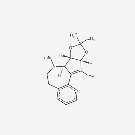 CCCCN1CCc2ccccc2C2=C(O)[C@H]3OC(C)(C)O[C@H]3[C@@H]21